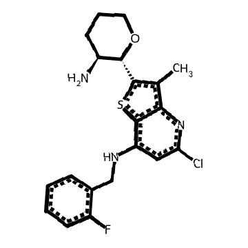 Cc1c([C@H]2OCCC[C@@H]2N)sc2c(NCc3ccccc3F)cc(Cl)nc12